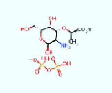 C[C@@H](O[C@@H]1[C@@H](N)[C@@H](O)O[C@H](CO)[C@H]1O)C(=O)O.O=P(O)(O)OP(=O)(O)O